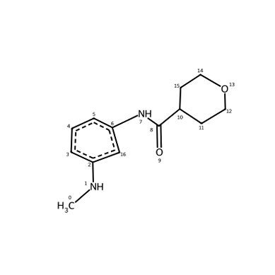 CNc1cccc(NC(=O)C2CCOCC2)c1